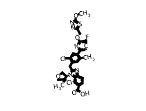 COc1nnc(COc2nc(-c3cc(Cl)c(Cc4nc5ccc(C(=O)O)cc5n4[C@@H]4COCC4(C)C)cc3C)ccc2F)s1